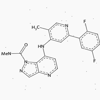 CNC(=O)n1ncc2nccc(Nc3cc(-c4cc(F)ccc4F)ncc3C)c21